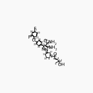 CC(C)(O)C=CC(=O)N1CCC[C@@H](n2nc(-c3ccc(Oc4ccc(F)cc4F)cc3)c(C(N)=O)c2N)C1